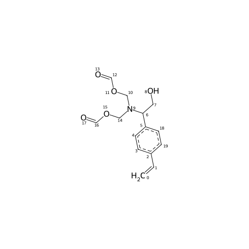 C=Cc1ccc(C(CO)N(COC=O)COC=O)cc1